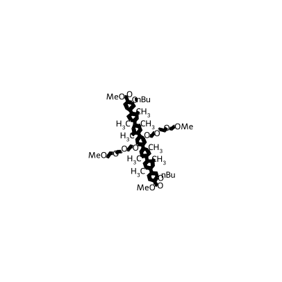 CCCCOc1cc(-c2cc(C)c(-c3cc(C)c(-c4cc(OCCOCCOCCOC)c(-c5cc(C)c(-c6cc(C)c(-c7ccc(C(=O)OC)c(OCCCC)c7)cc6C)cc5C)cc4OCCOCCOCCOC)cc3C)cc2C)ccc1C(=O)OC